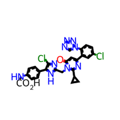 O=C(O)Nc1ccc(-c2[nH]c(Cn3c(C4CC4)nc(-c4cc(Cl)ccc4-n4cnnn4)cc3=O)nc2Cl)cc1